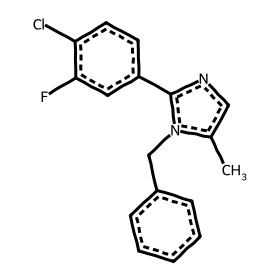 Cc1cnc(-c2ccc(Cl)c(F)c2)n1Cc1ccccc1